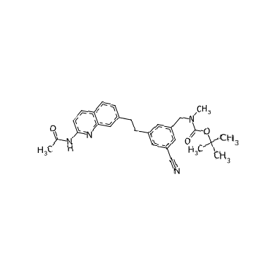 CC(=O)Nc1ccc2ccc(CCc3cc(C#N)cc(CN(C)C(=O)OC(C)(C)C)c3)cc2n1